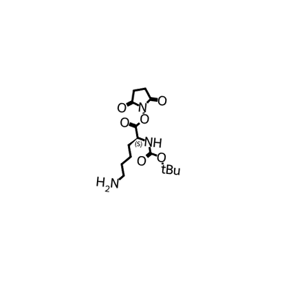 CC(C)(C)OC(=O)N[C@@H](CCCCN)C(=O)ON1C(=O)CCC1=O